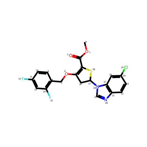 COC(=O)C1=C(OCc2ccc(F)cc2F)CC(n2cnc3ccc(Cl)cc32)S1